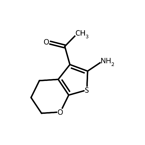 CC(=O)c1c(N)sc2c1CCCO2